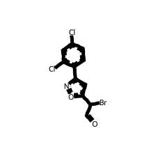 O=CC(Br)c1cc(-c2ccc(Cl)cc2Cl)no1